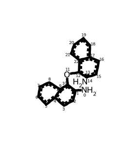 Nc1ccc2ccccc2c1Oc1c(N)ccc2ccccc12